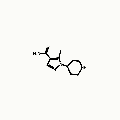 Cc1c(C(N)=O)cnn1C1CCNCC1